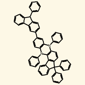 c1ccc(C2c3ccccc3-c3cc(-c4ccc5c(c4)N(c4ccccc4)c4ccc6c(c4N5c4ccccc4)-c4ccccc4C6(c4ccccc4)c4ccccc4)ccc32)cc1